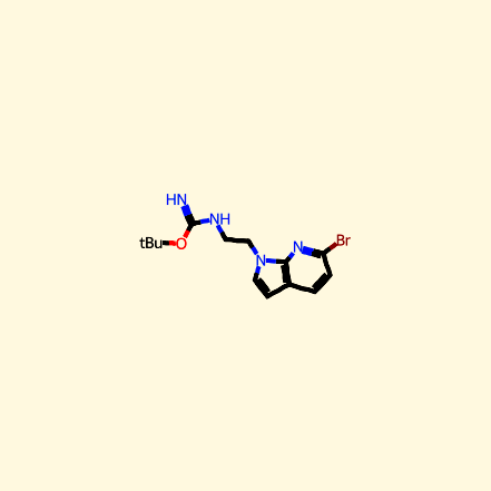 CC(C)(C)OC(=N)NCCn1ccc2ccc(Br)nc21